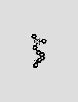 c1ccc(-c2nc(-c3ccccc3)nc(-c3cccc(-c4ccc5c(ccc6ccc7cc8c(cc7c65)sc5ccccc58)c4)c3)n2)cc1